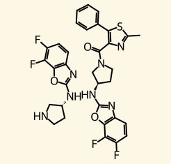 Cc1nc(C(=O)N2CC[C@@H](Nc3nc4ccc(F)c(F)c4o3)C2)c(-c2ccccc2)s1.Fc1ccc2nc(N[C@@H]3CCNC3)oc2c1F